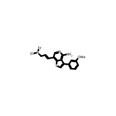 CCN(CC)CC=Cc1cnc(N)c2c(-c3cccc(OC)c3)csc12